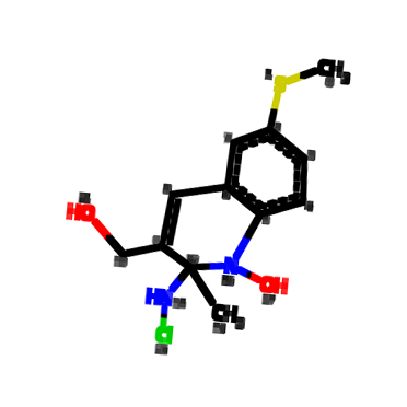 CSc1ccc2c(c1)C=C(CO)C(C)(NCl)N2O